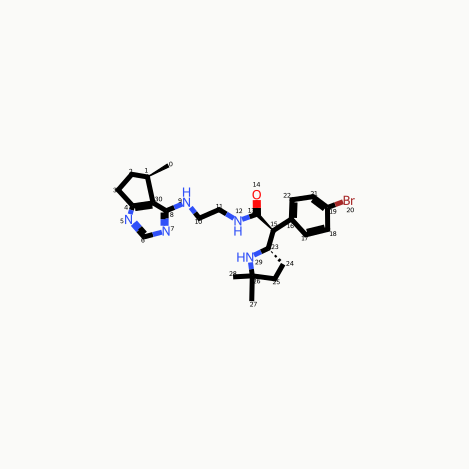 C[C@@H]1CCc2ncnc(NCCNC(=O)[C@@H](c3ccc(Br)cc3)[C@@H]3CCC(C)(C)N3)c21